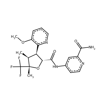 COc1cccnc1[C@H]1[C@H](C(=O)Nc2ccnc(C(N)=O)c2)O[C@](C)(C(F)(F)F)[C@H]1C